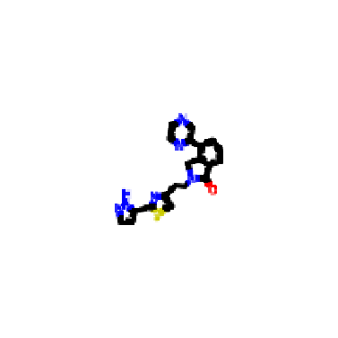 O=C1c2cccc(-c3cnccn3)c2CN1CCc1csc(-c2ccn[nH]2)n1